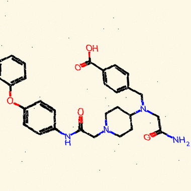 NC(=O)CN(Cc1ccc(C(=O)O)cc1)C1CCN(CC(=O)Nc2ccc(Oc3ccccc3)cc2)CC1